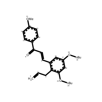 C=CCc1c(C=CC(=O)c2ccc(OC)cc2)cc(OCCCC)cc1OCCCC